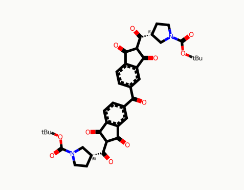 CC(C)(C)OC(=O)N1CC[C@@H](C(=O)C2C(=O)c3ccc(C(=O)c4ccc5c(c4)C(=O)C(C(=O)[C@@H]4CCN(C(=O)OC(C)(C)C)C4)C5=O)cc3C2=O)C1